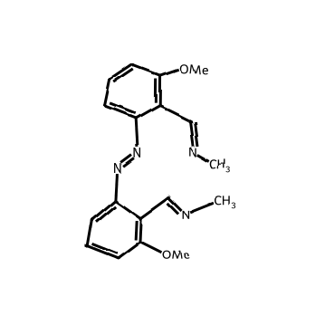 C/N=C/c1c(/N=N/c2cccc(OC)c2/C=N/C)cccc1OC